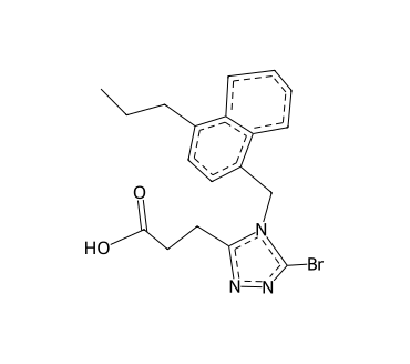 CCCc1ccc(Cn2c(Br)nnc2CCC(=O)O)c2ccccc12